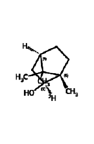 [2H][C@]1(O)C[C@H]2CC[C@@]1(C)C2(C)C